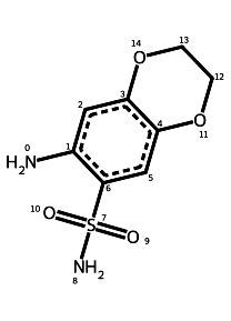 Nc1cc2c(cc1S(N)(=O)=O)OCCO2